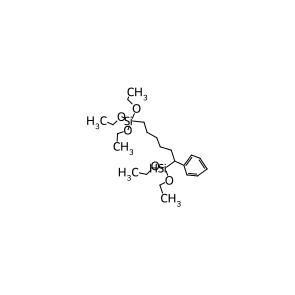 CCO[SiH](OCC)C(CCCCC[Si](OCC)(OCC)OCC)c1ccccc1